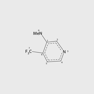 CNc1cnccc1C(F)(F)F